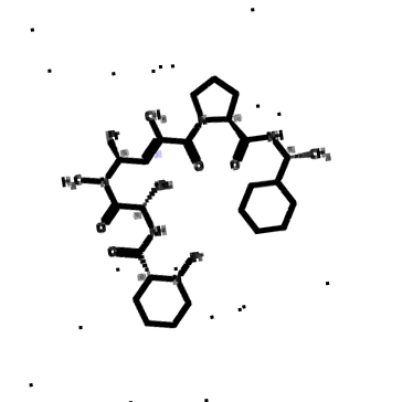 C/C(=C\[C@H](C(C)C)N(C)C(=O)[C@@H](NC(=O)[C@H]1CCCCN1C(C)C)C(C)(C)C)C(=O)N1CCC[C@H]1C(=O)N[C@H](C)C1CCCCC1